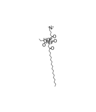 CCCCCCCCCCCCCCCCCC(=O)CC(CC(=O)P(O)C(=O)CCC[N+](C)(C)C)NC(=O)CCC